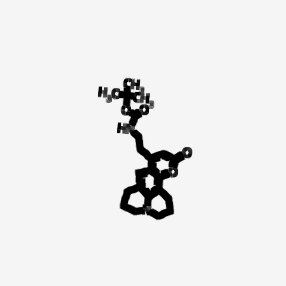 CC(C)(C)OC(=O)NCCc1cc(=O)oc2c3c4c(cc12)CCCN4CCC3